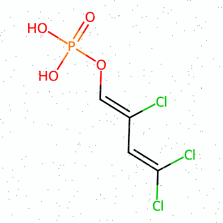 O=P(O)(O)OC=C(Cl)C=C(Cl)Cl